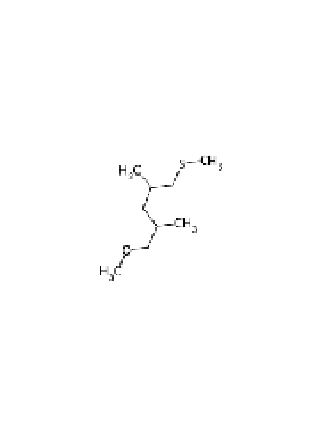 COCC(C)CC(C)CSC